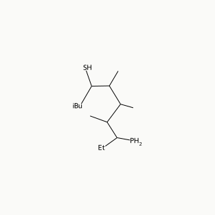 CCC(C)C(S)C(C)C(C)C(C)C(P)CC